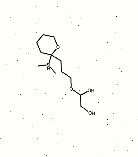 C[SiH](C)C1(CCCOC(O)CO)CCCCO1